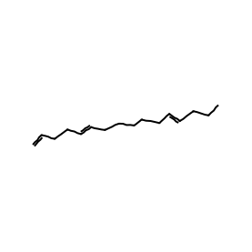 C=CCCC=CCCCCCC=CCCC